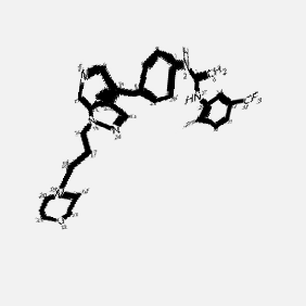 C=C(Nc1ccc(-c2cncc3c2cnn3CCCN2CCOCC2)cc1)Nc1cccc(C(F)(F)F)c1